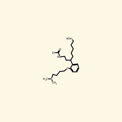 CCCCCCCCCCCCCCCC(CCNC(=O)CC)c1ccccc1OCCCCN(C)C